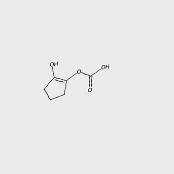 O=C(O)OC1=C(O)CCC1